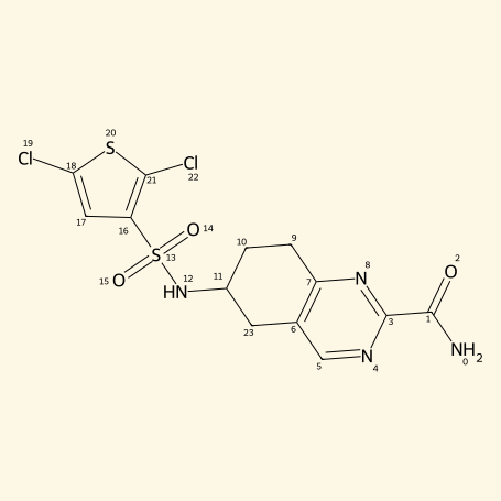 NC(=O)c1ncc2c(n1)CCC(NS(=O)(=O)c1cc(Cl)sc1Cl)C2